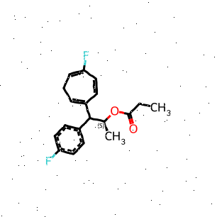 CCC(=O)O[C@@H](C)C(C1=CCC=C(F)C=C1)c1ccc(F)cc1